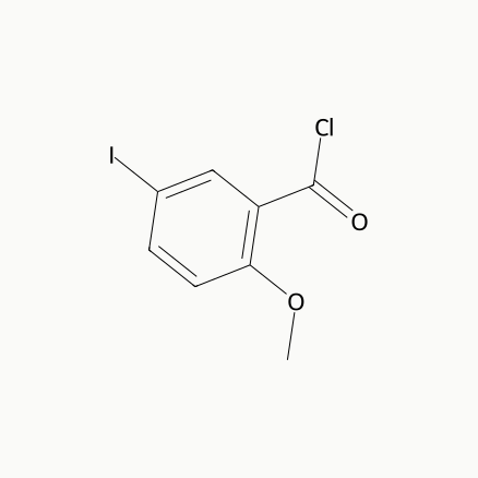 COc1ccc(I)cc1C(=O)Cl